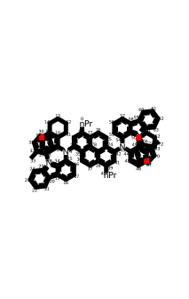 CCCc1cc(N(c2cccc3c2CCCC3)c2cccc3c4ccccc4n(-c4ccccc4C)c23)c2ccc3c(CCC)cc(N(c4cccc5c4CCCC5)c4cccc5c6ccccc6n(-c6ccccc6C)c45)c4ccc1c2c34